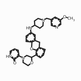 COc1cncc(CN2CCC(Nc3ccc4c(c3)Cc3cccc(C5CN(c6ccc[nH]c6=O)CCO5)c3O4)CC2)c1